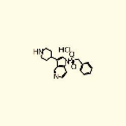 Cl.O=S(=O)(Cc1ccccc1)n1cc(C2CCNCC2)c2cnccc21